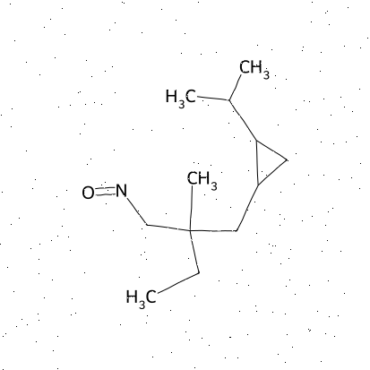 CCC(C)(CN=O)CC1CC1C(C)C